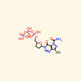 CCCc1nn(C(N)=O)c2c(=O)n(C3[CH][CH]C(COP(=O)(O)OP(=O)(O)OP(=O)(O)O)O3)nnc12